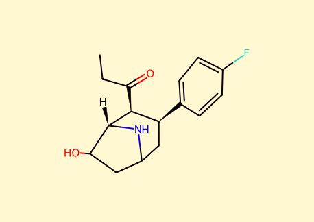 CCC(=O)[C@H]1[C@@H](c2ccc(F)cc2)CC2CC(O)[C@H]1N2